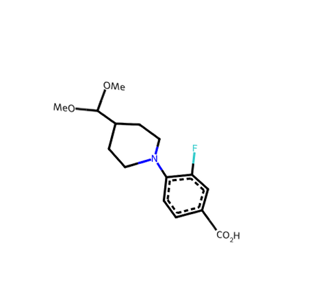 COC(OC)C1CCN(c2ccc(C(=O)O)cc2F)CC1